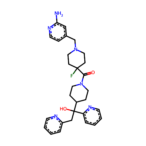 Nc1cc(CN2CCC(F)(C(=O)N3CCC(C(O)(Cc4ccccn4)c4ccccn4)CC3)CC2)ccn1